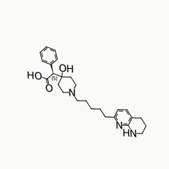 O=C(O)[C@@H](c1ccccc1)C1(O)CCN(CCCCCc2ccc3c(n2)NCCC3)CC1